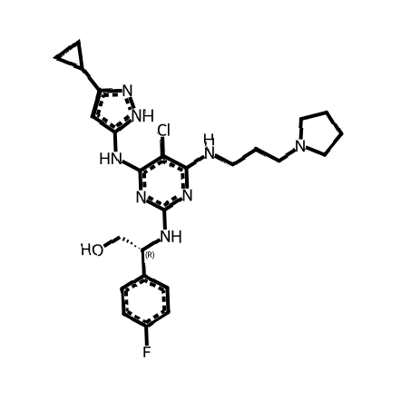 OC[C@H](Nc1nc(NCCCN2CCCC2)c(Cl)c(Nc2cc(C3CC3)n[nH]2)n1)c1ccc(F)cc1